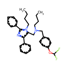 CCCCN(Cc1ccc(OC(F)F)cc1)Cc1c(-c2ccccc2)nc(-c2ccccc2)n1CCCC